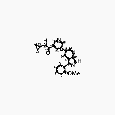 COc1ccccc1-c1n[nH]c2ncc(-c3cncc(C(=O)NC4CC4)c3)cc12